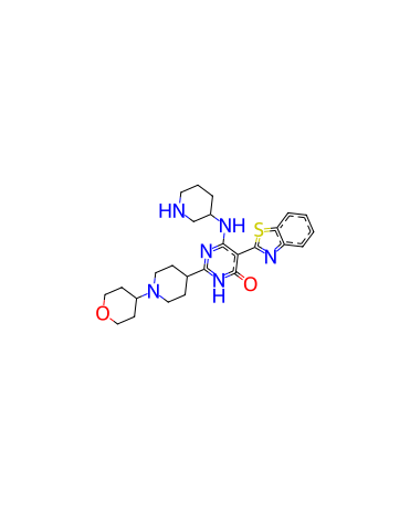 O=c1[nH]c(C2CCN(C3CCOCC3)CC2)nc(NC2CCCNC2)c1-c1nc2ccccc2s1